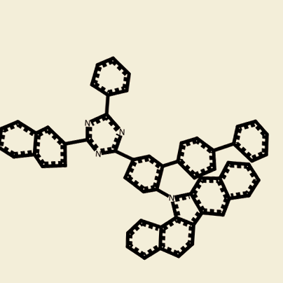 c1ccc(-c2ccc(-c3cc(-c4nc(-c5ccccc5)nc(-c5ccc6ccccc6c5)n4)ccc3-n3c4cc5ccccc5cc4c4ccc5ccccc5c43)cc2)cc1